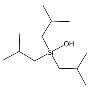 CC(C)C[Si](O)(CC(C)C)CC(C)C